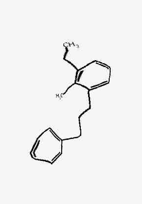 CCc1cccc(CCCc2ccccc2)c1C